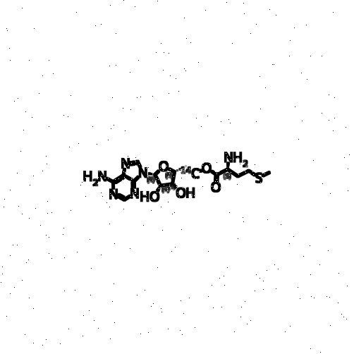 CSCC[C@H](N)C(=O)O[14CH2]C[C@H]1O[C@@H](n2cnc3c(N)ncnc32)[C@H](O)[C@@H]1O